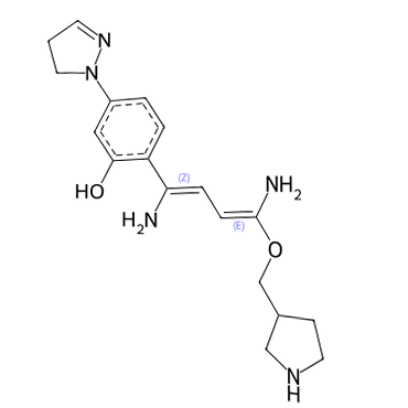 N/C(=C\C=C(/N)OCC1CCNC1)c1ccc(N2CCC=N2)cc1O